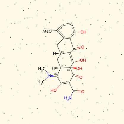 COc1ccc(O)c2c1C[C@H]1C[C@H]3[C@H](N(C)C)C(O)=C(C(N)=O)C(=O)[C@@]3(O)C(O)=C1C2=O